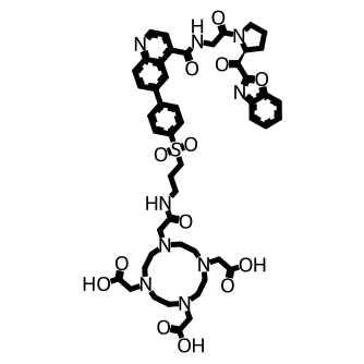 O=C(O)CN1CCN(CC(=O)O)CCN(CC(=O)NCCCS(=O)(=O)c2ccc(-c3ccc4nccc(C(=O)NCC(=O)N5CCC[C@H]5C(=O)c5nc6ccccc6o5)c4c3)cc2)CCN(CC(=O)O)CC1